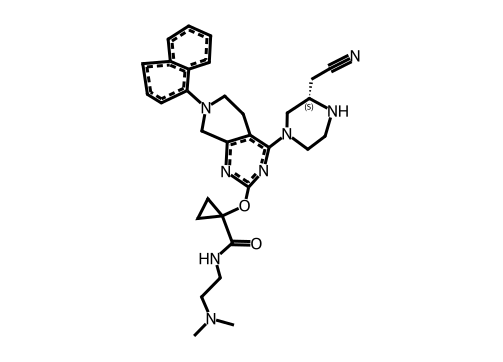 CN(C)CCNC(=O)C1(Oc2nc3c(c(N4CCN[C@@H](CC#N)C4)n2)CCN(c2cccc4ccccc24)C3)CC1